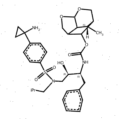 CC(C)CN(C[C@@H](O)[C@H](Cc1ccccc1)NC(=O)OC1C2COC3OCC1[C@H](C)C32)S(=O)(=O)c1ccc(C2(N)CC2)cc1